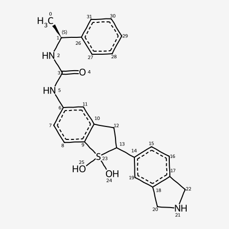 C[C@H](NC(=O)Nc1ccc2c(c1)CC(c1ccc3c(c1)CNC3)S2(O)O)c1ccccc1